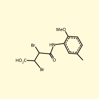 COc1ccc(C)cc1NC(=O)C(Br)C(Br)C(=O)O